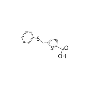 O=C(O)c1ccc(CSc2ccccc2)s1